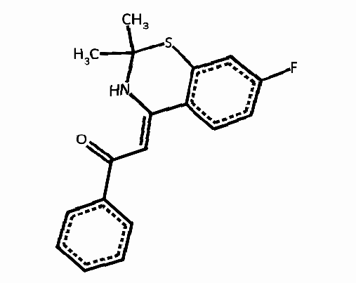 CC1(C)N/C(=C\C(=O)c2ccccc2)c2ccc(F)cc2S1